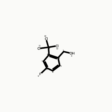 OCc1ccc(F)cc1C(Cl)(Cl)Cl